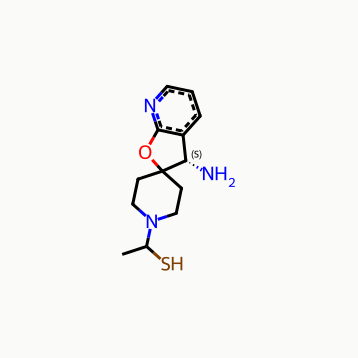 CC(S)N1CCC2(CC1)Oc1ncccc1[C@@H]2N